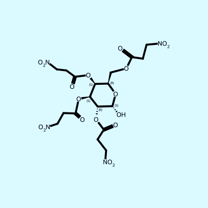 O=C(CC[N+](=O)[O-])OC[C@H]1O[C@H](O)[C@H](OC(=O)CC[N+](=O)[O-])[C@@H](OC(=O)CC[N+](=O)[O-])[C@H]1OC(=O)CC[N+](=O)[O-]